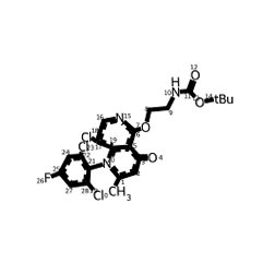 Cc1cc(=O)c2c(OCCNC(=O)OC(C)(C)C)ncc(Cl)c2n1-c1c(Cl)cc(F)cc1Cl